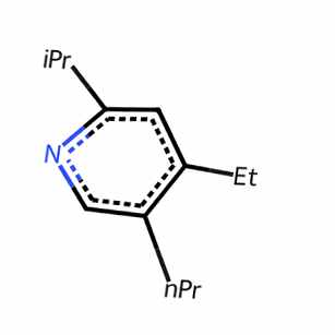 CCCc1cnc(C(C)C)cc1CC